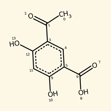 CC(=O)c1cc(C(=O)O)c(O)cc1O